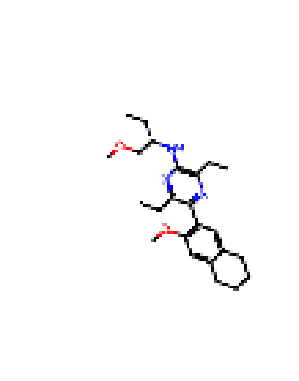 CCc1nc(-c2cc3c(cc2OC)CCCC3)c(CC)nc1N[C@H](CC)COC